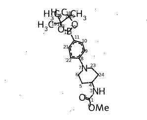 COC(=O)NC1CCN(c2ccc(B3OC(C)(C)C(C)(C)O3)cc2)CC1